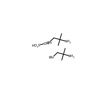 CC(C)(C)CC(C)(C)N.CC(C)(C)CC(C)(C)N.O=S(=O)(O)O